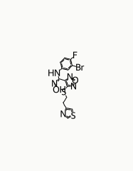 O/N=C(/Nc1ccc(F)c(Br)c1)c1nonc1SCCc1cscn1